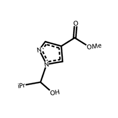 COC(=O)c1cnn(C(O)C(C)C)c1